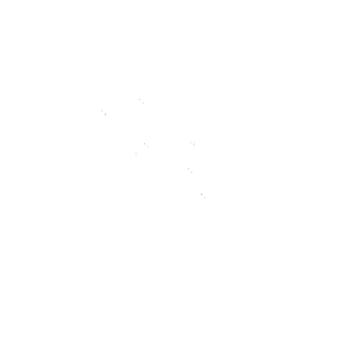 Cc1c(N2CCN(S(=O)(=O)CC=Cc3ccccc3F)CC2)nc2ccccc2c1N(F)c1cncc(N2CCOCC2)c1